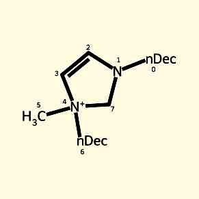 CCCCCCCCCCN1C=C[N+](C)(CCCCCCCCCC)C1